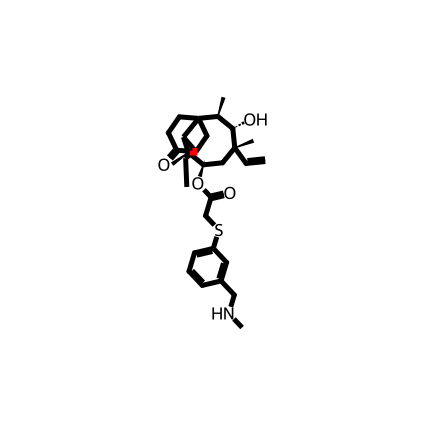 C=C[C@]1(C)C[C@@H](OC(=O)CSc2cccc(CNC)c2)[C@]2(C)C(C)CC34CC(CCC3=O)(C42)[C@@H](C)[C@@H]1O